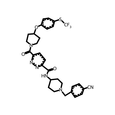 N#Cc1ccc(CN2CCC(NC(=O)c3ccc(C(=O)N4CCC(Oc5ccc(SC(F)(F)F)cc5)CC4)nn3)CC2)cc1